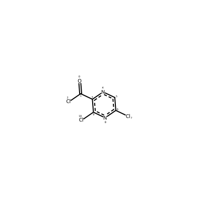 O=C(Cl)c1ncc(Cl)nc1Cl